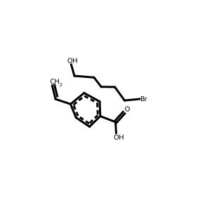 C=Cc1ccc(C(=O)O)cc1.OCCCCCBr